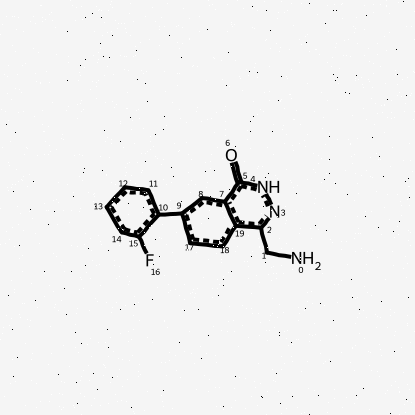 NCc1n[nH]c(=O)c2cc(-c3ccccc3F)ccc12